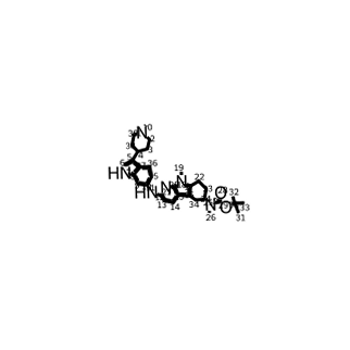 CN1CCC(c2c[nH]c3cc(Nc4ccc5c6c(n(C)c5n4)CCC(N(C)C(=O)OC(C)(C)C)C6)ccc23)CC1